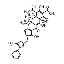 CC(=O)C1=C(O)C(C(C)C)[C@@]2(C)[C@H](O)[C@]3(C)C(=C(O)[C@@]2(O)C1=O)C(=O)c1c(ccc(CC2=CC(c4ccccc4)=C(C)C2)c1O)[C@H]3C